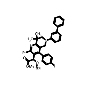 COC(=O)C(OC(C)(C)C)c1c(C(C)C)nc2c(c1-c1ccc(F)cc1)CN(c1cccc(-c3ccccc3)c1)CC2(C)C